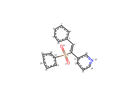 O=S(=O)(C(=Cc1ccccc1)c1cccnc1)c1ccccc1